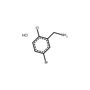 Cl.NCc1cc(Br)ccc1Cl